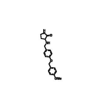 COc1ccc(COc2ccc(CNC3CCNC3=O)cc2)cc1